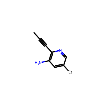 CC#Cc1ncc(CC)cc1N